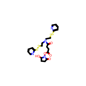 O=C(CCC(=O)N(CCSSc1ccccn1)CCSSc1ccccn1)ON1C(=O)CCC1O